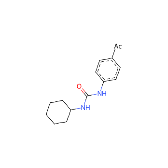 CC(=O)c1ccc(NC(=O)NC2CCCCC2)cc1